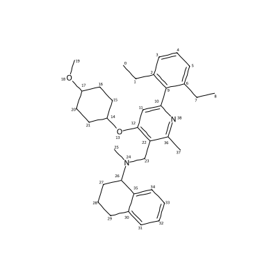 CCc1cccc(CC)c1-c1cc(OC2CCC(OC)CC2)c(CN(C)C2CCCc3ccccc32)c(C)n1